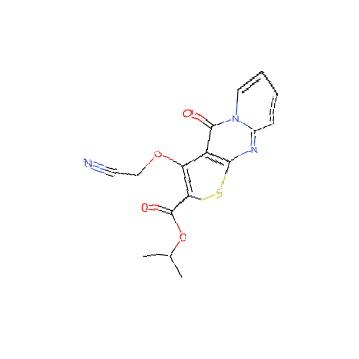 CC(C)OC(=O)c1sc2nc3ccccn3c(=O)c2c1OCC#N